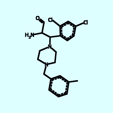 Cc1cccc(CN2CCN(C(c3ccc(Cl)cc3Cl)C(N)C=O)CC2)c1